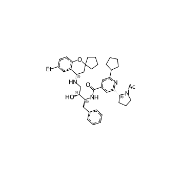 CCc1ccc2c(c1)[C@@H](NC[C@H](O)[C@H](Cc1ccccc1)NC(=O)c1cc(C3CCCC3)nc([C@H]3CCCN3C(C)=O)c1)CC1(CCCC1)O2